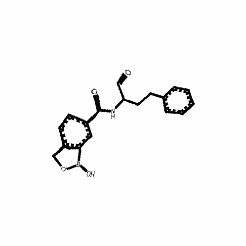 O=CC(CCc1ccccc1)NC(=O)c1ccc2c(c1)B(O)OC2